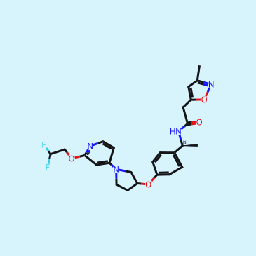 Cc1cc(CC(=O)N[C@@H](C)c2ccc(OC3CCN(c4ccnc(OCC(F)F)c4)C3)cc2)on1